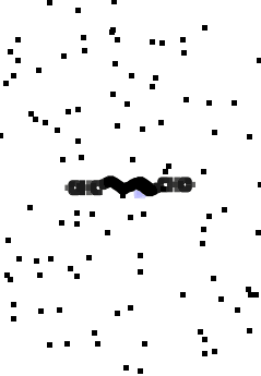 O=[C]/C=C/CC[C]=O